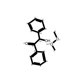 COOC.O=C(c1ccccc1)C(O)c1ccccc1